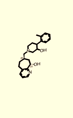 Cc1ccccc1C1CCN(C[C@@H]2CCc3cccnc3[C@@H](O)C2)CC1O